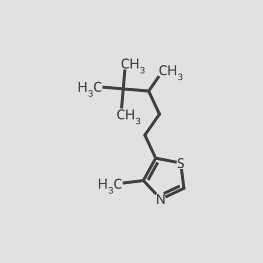 Cc1ncsc1CCC(C)C(C)(C)C